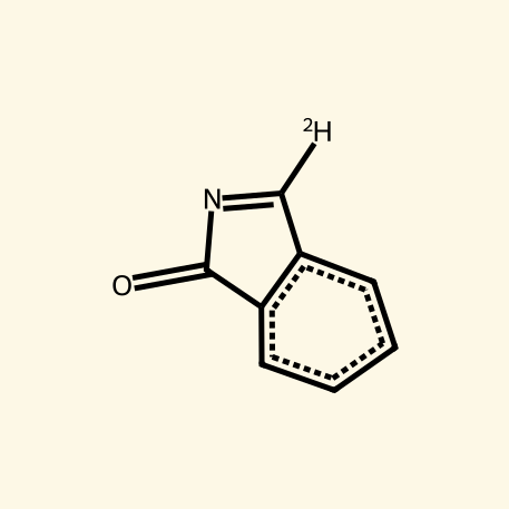 [2H]C1=NC(=O)c2ccccc21